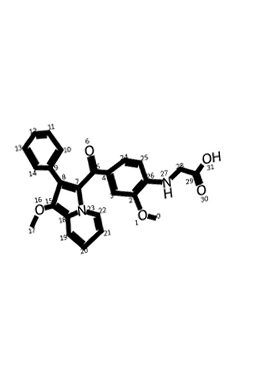 COc1cc(C(=O)c2c(-c3ccccc3)c(OC)c3ccccn23)ccc1NCC(=O)O